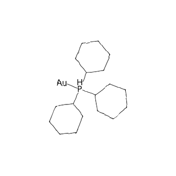 [Au][PH](C1CCCCC1)(C1CCCCC1)C1CCCCC1